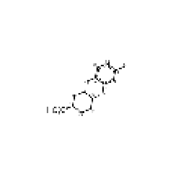 Cc1cc(C[C@H]2CC[C@H](C(=O)O)CC2)c(C)cn1